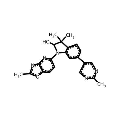 Cc1ncc(-c2ccc3c(c2)N(c2ccc4oc(C)nc4n2)C(O)C3(C)C)cn1